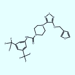 O=C(Nc1cc(C(F)(F)F)cc(C(F)(F)F)c1)N1CCN(c2nsnc2OCc2ccoc2)CC1